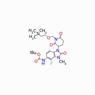 Cn1c(=O)n(C2CCC(=O)N(COCC[Si](C)(C)C)C2=O)c2ccc(NC(=O)OC(C)(C)C)c(F)c21